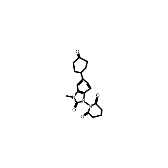 Cn1c(=O)n(N2C(=O)CCCC2=O)c2ccc(C3CCC(=O)CC3)cc21